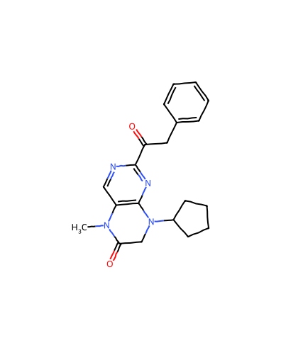 CN1C(=O)CN(C2CCCC2)c2nc(C(=O)Cc3ccccc3)ncc21